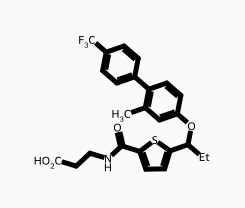 CCC(Oc1ccc(-c2ccc(C(F)(F)F)cc2)c(C)c1)c1ccc(C(=O)NCCC(=O)O)s1